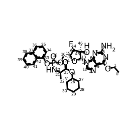 CCOc1nc(N)nc2c1ncn2[C@@H]1O[C@H](COP(=O)(NC(C)C(=O)OC2CCCCC2)Oc2cccc3ccccc23)[C@@H](F)[C@@]1(C)O